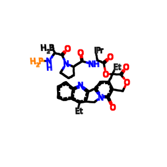 BC(NP)C(=O)N1CCCC1C(=O)NC(C(=O)OC1(CC)C(=O)OCc2c1cc1n(c2=O)Cc2c-1nc1ccccc1c2CC)C(C)C